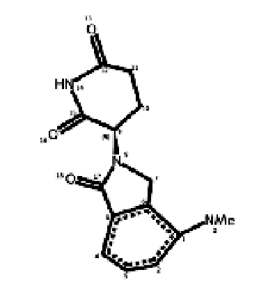 CNc1cccc2c1CN([C@@H]1CCC(=O)NC1=O)C2=O